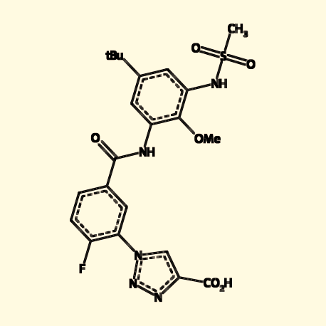 COc1c(NC(=O)c2ccc(F)c(-n3cc(C(=O)O)nn3)c2)cc(C(C)(C)C)cc1NS(C)(=O)=O